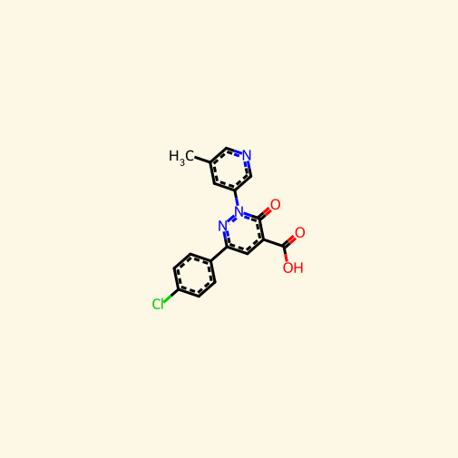 Cc1cncc(-n2nc(-c3ccc(Cl)cc3)cc(C(=O)O)c2=O)c1